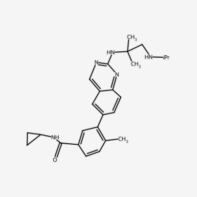 Cc1ccc(C(=O)NC2CC2)cc1-c1ccc2nc(NC(C)(C)CNC(C)C)ncc2c1